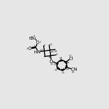 CC(C)(C)OC(=O)NC1(C)CC(C)(Oc2ccc(C#N)c(Cl)c2)C1(C)C